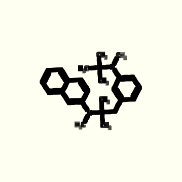 CN(c1cccc(CC(C)(C)N(C)c2ccc3ccccc3c2)c1)C(C)(C)C